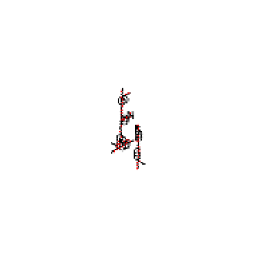 CCCCCC(CCCCC)CCOCOCCCCCCCC(CCCCCCCOCOCCC(CCCCC)C(CCCC)C(CCC)CC(CCCCC)CC(=O)OCCCCCCCCCCC(CCCCCCCCCCOC(=O)CC(CCCCC)CCCCC)C(=O)OCCCN(C)CC)OCOCCN1CCCC1